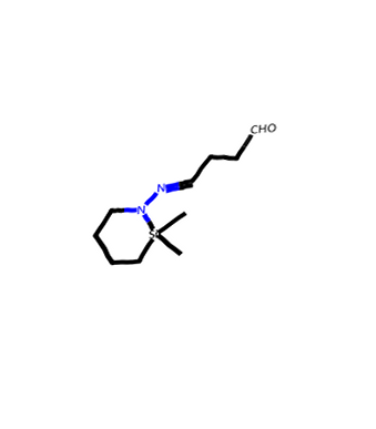 C[Si]1(C)CCCCN1N=CCCC=O